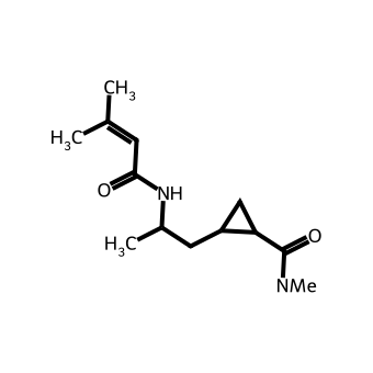 CNC(=O)C1CC1CC(C)NC(=O)C=C(C)C